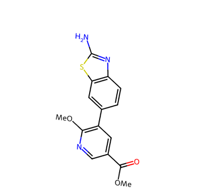 COC(=O)c1cnc(OC)c(-c2ccc3nc(N)sc3c2)c1